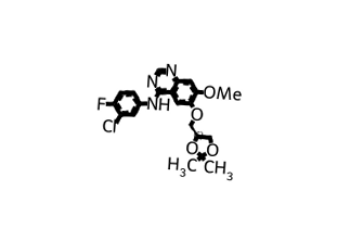 COc1cc2ncnc(Nc3ccc(F)c(Cl)c3)c2cc1OC[C@H]1COC(C)(C)O1